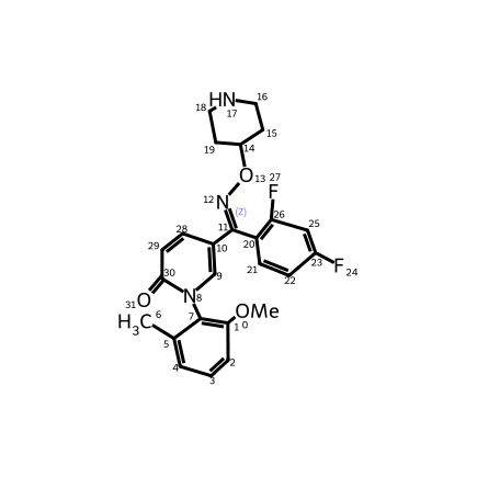 COc1cccc(C)c1-n1cc(/C(=N/OC2CCNCC2)c2ccc(F)cc2F)ccc1=O